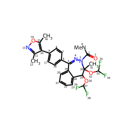 CNC(=O)N1N=C(c2ccc(-c3c(C)noc3C)cc2)c2ccccc2C(OC(F)F)C1(C)OC(F)F